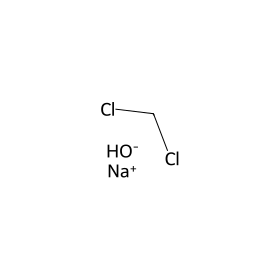 ClCCl.[Na+].[OH-]